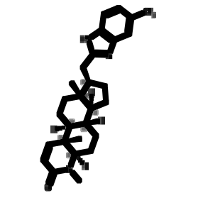 CN1C(=O)C=C[C@]2(C)[C@H]3CC[C@]4(C)[C@@H](Cc5nc6cc(C(F)(F)F)ccc6[nH]5)CC[C@H]4[C@@H]3CC[C@@H]12